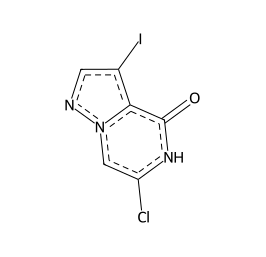 O=c1[nH]c(Cl)cn2ncc(I)c12